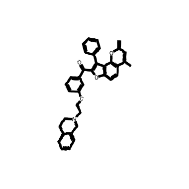 C=C1C=C(C)c2ccc3oc(C(=O)c4cccc(OCCN5CCc6ccccc6C5)c4)c(-c4ccccc4)c3c2O1